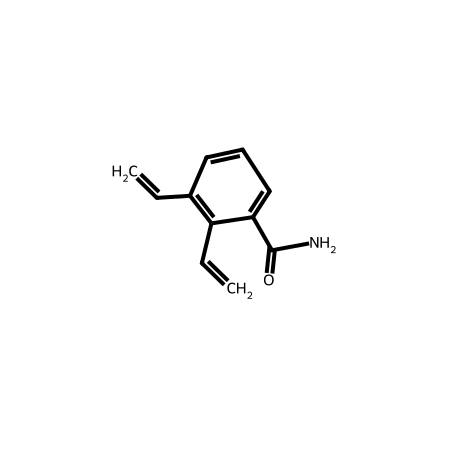 C=Cc1cccc(C(N)=O)c1C=C